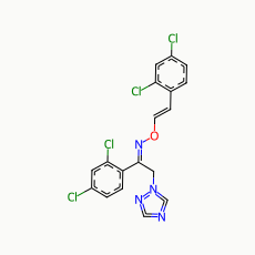 Clc1ccc(C=CON=C(Cn2cncn2)c2ccc(Cl)cc2Cl)c(Cl)c1